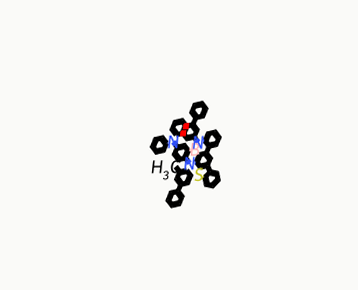 Cc1cc(-c2ccccc2)ccc1N1c2ccc(N(c3ccccc3)c3ccccc3)cc2B2c3c(cc4c(sc5ccccc54)c31)-c1ccccc1N2c1cccc(-c2ccccc2)c1